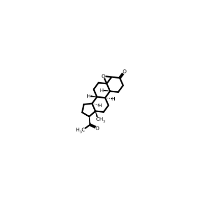 CC(=O)[C@H]1CC[C@H]2[C@@H]3CCC45OC4C(=O)CC[C@@H]5[C@H]3CC[C@]12C